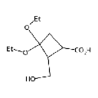 CCOC1(OCC)CC(C(=O)O)C1CO